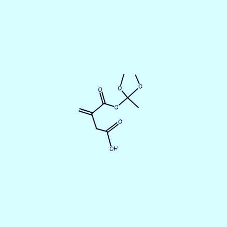 C=C(CC(=O)O)C(=O)OC(C)(OC)OC